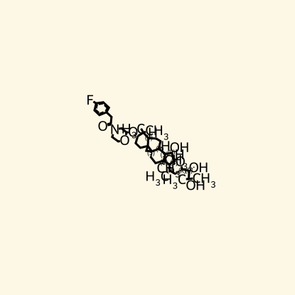 C[C@@H]1C[C@H]([C@H](O)C(C)(C)O)O[C@H]2C1[C@@]1(C)CC[C@@]34CC35CCC(OC3CN(C(=O)Cc6ccc(F)cc6)CCO3)C(C)(C)[C@@H]5CC[C@H]4[C@]1(C)[C@H]2O